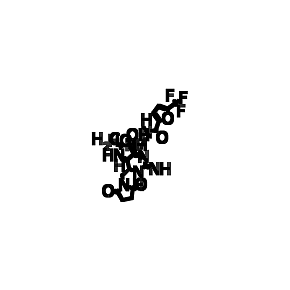 C=C1N[C@H]2[C@H](CN3C(=O)CCC3=O)NC(=N)N3C[C@H](NC(=O)c4ccc(C(F)(F)F)o4)C(O)(O)[C@]23N1